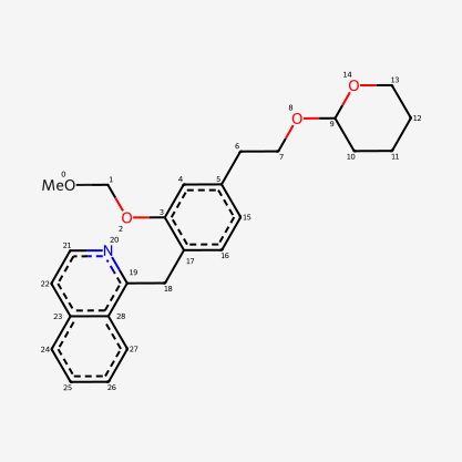 COCOc1cc(CCOC2CCCCO2)ccc1Cc1nccc2ccccc12